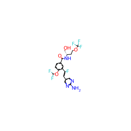 Nc1ncc(/C=C(\F)c2cc(C(=O)N[C@H](CO)CCOC(F)(F)F)ccc2OC(F)F)cn1